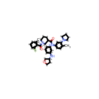 Cc1ccc(NC(=O)C2CCCN(C(=O)c3c(C)cccc3F)[C@H]2c2ccc(NC3CCOC3)cc2)cc1N1CCCC1